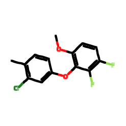 COc1ccc(F)c(F)c1Oc1ccc(C)c(Cl)c1